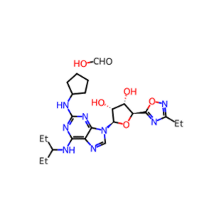 CCc1noc([C@H]2O[C@@H](n3cnc4c(NC(CC)CC)nc(NC5CCCC5)nc43)[C@H](O)[C@@H]2O)n1.O=CO